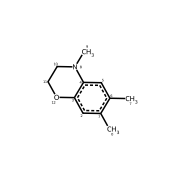 Cc1cc2c(cc1C)N(C)CCO2